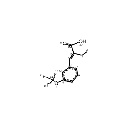 CC/C(=C\c1cccc(OC(F)(F)F)c1)C(=O)O